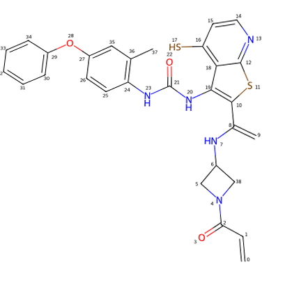 C=CC(=O)N1CC(NC(=C)c2sc3nccc(S)c3c2NC(=O)Nc2ccc(Oc3ccccc3)cc2C)C1